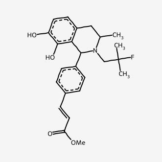 COC(=O)/C=C/c1ccc(C2c3c(ccc(O)c3O)CC(C)N2CC(C)(C)F)cc1